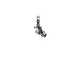 CCC(CC)n1c(C(=O)Nc2cccc(C(F)(F)I)c2)cc2cnc(Nc3ccc(N4CCNCC4)cc3)nc21